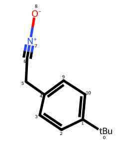 CC(C)(C)c1ccc(CC#[N+][O-])cc1